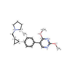 COc1ncc(-c2ccc([C@@H]3C[C@H]3CN3CCC[C@@H]3C)cc2)c(OC)n1